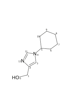 OCc1cn(C2CCCCC2)cn1